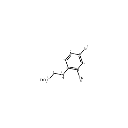 CCOC(=O)CNc1cnc(Br)cc1C#N